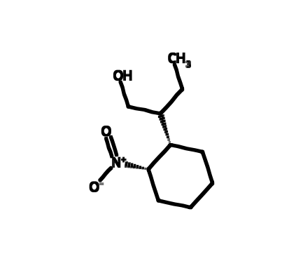 CCC(CO)[C@@H]1CCCC[C@@H]1[N+](=O)[O-]